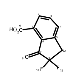 O=C(O)c1cccc2c1C(=O)C(F)(F)C2